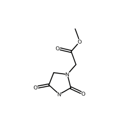 COC(=O)CN1CC(=O)[N]C1=O